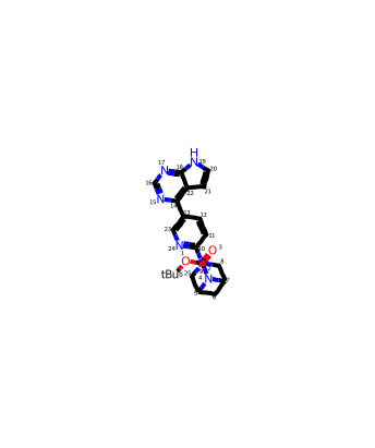 CC(C)(C)OC(=O)N1C2CC1CN(c1ccc(-c3ncnc4[nH]ccc34)cn1)C2